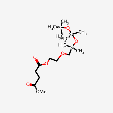 COC(=O)CCC(=O)OCCOC[Si](C)(C)O[Si](C)(C)O[Si](C)(C)C